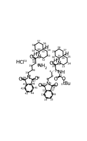 CC(C)(C)OC(=O)N[C@H](CCCN1C(=O)c2ccccc2C1=O)C(=O)N1CCC[C@H]2CCCC[C@@H]21.Cl.N[C@H](CCCN1C(=O)c2ccccc2C1=O)C(=O)N1CCC[C@H]2CCCC[C@@H]21